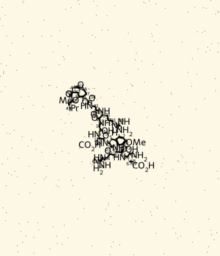 COc1ccc(C[C@H](NC(=O)[C@H](CC(=O)O)NC(O)CNC(=O)[C@H](CCCNC(=N)N)NC(=O)CNC(=O)O[C@@H]2CC[C@]3(CO3)[C@@H]([C@@]3(C)O[C@@H]3CCC(C)C)[C@@H]2OC)C(=O)N[C@@H](CCCNC(=N)N)C(=O)N[C@@H](CCC(=O)O)C(N)O)cc1